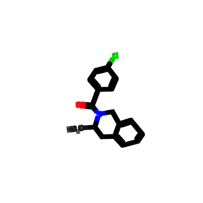 O=C(O)C1Cc2ccccc2CN1C(=O)c1ccc(Cl)cc1